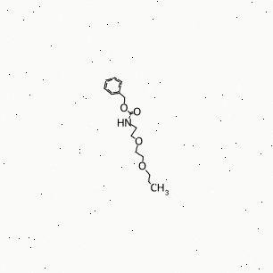 CCCOCCOCCNC(=O)OCc1ccccc1